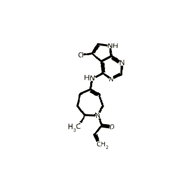 C=CC(=O)N1CC=C(Nc2ncnc3[nH]cc(Cl)c23)CC[C@@H]1C